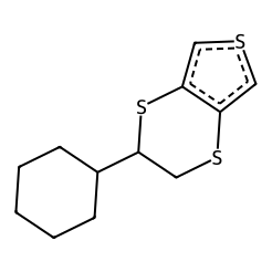 c1scc2c1SCC(C1CCCCC1)S2